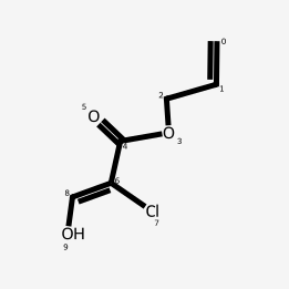 C=CCOC(=O)C(Cl)=CO